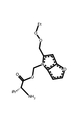 CCOOCc1cc2occc2n1COC(=O)[C@H](N)C(C)C